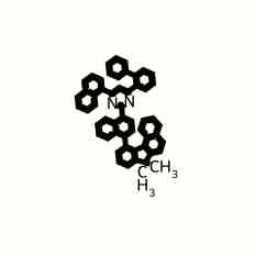 CC1(C)c2cccc(-c3ccc(-c4nc(-c5ccccc5-c5ccccc5)cc(-c5cccc6ccccc56)n4)c4ccccc34)c2-c2c1ccc1ccccc21